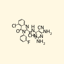 C[C@H](Nc1nc(N)nc(N)c1C#N)c1nc2cccc(Cl)c2c(=O)n1-c1cccc(F)c1